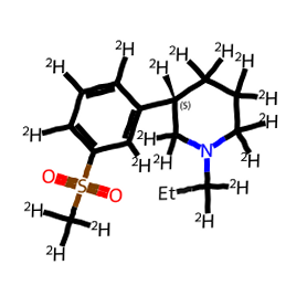 [2H]c1c([2H])c([C@@]2([2H])C([2H])([2H])N(C([2H])([2H])CC)C([2H])([2H])C([2H])([2H])C2([2H])[2H])c([2H])c(S(=O)(=O)C([2H])([2H])[2H])c1[2H]